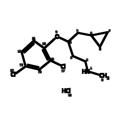 CNCCC(CC1CC1)Oc1ccc(Cl)cc1Cl.Cl